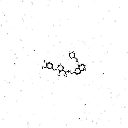 O=C(NCc1ccc2nccc(OCC3CCOCC3)c2c1)c1cncn(Cc2ccc(F)c(F)c2)c1=O